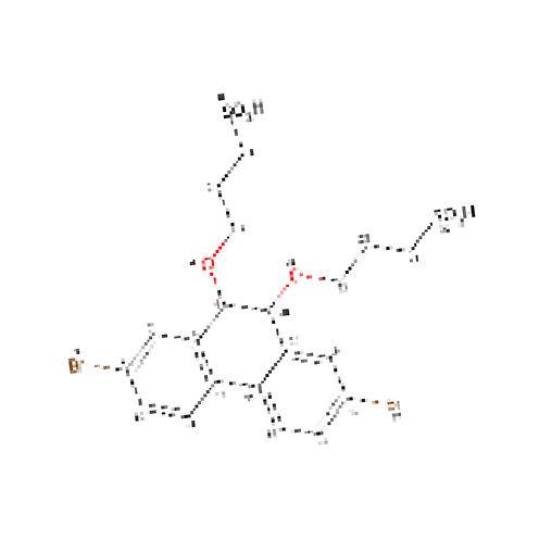 O=S(=O)(O)CCCOC1c2cc(Br)ccc2-c2ccc(Br)cc2C1OCCCS(=O)(=O)O